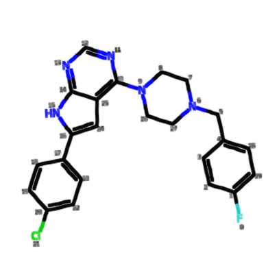 Fc1ccc(CN2CCN(c3ncnc4[nH]c(-c5ccc(Cl)cc5)cc34)CC2)cc1